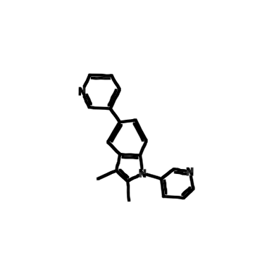 Cc1c(C)n(-c2cccnc2)c2ccc(-c3cccnc3)cc12